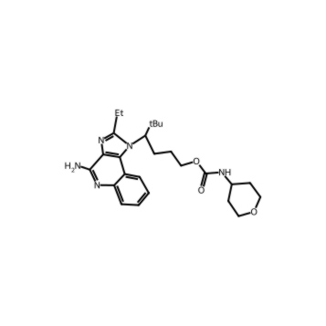 CCc1nc2c(N)nc3ccccc3c2n1C(CCCOC(=O)NC1CCOCC1)C(C)(C)C